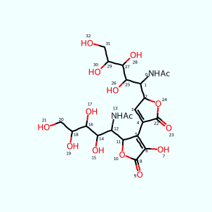 CC(=O)NC(C1C=C(C2=C(O)C(=O)OC2C(NC(C)=O)C(O)C(O)C(O)CO)C(=O)O1)C(O)C(O)C(O)CO